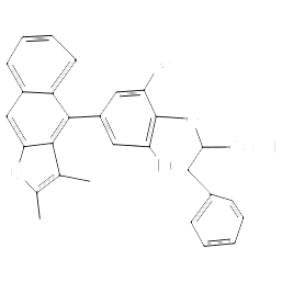 CCc1cc(-c2c3ccccc3cc3oc(C)c(C)c23)cc(Br)c1OC(Cc1ccccc1)C(=O)O